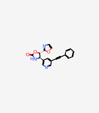 O=C1N[C@H](c2cncc(C#Cc3ccccc3)c2)[C@@H](c2ncco2)O1